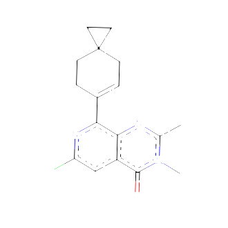 Cc1nc2c(C3=CCC4(CC3)CC4)nc(Cl)cc2c(=O)n1C